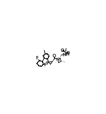 Cc1ccc([C@@]2(F)C[C@@H]2C(=O)N2C[C@@H](C)[C@H]2CNS(C)(=O)=O)c(-c2c(F)cccc2F)c1